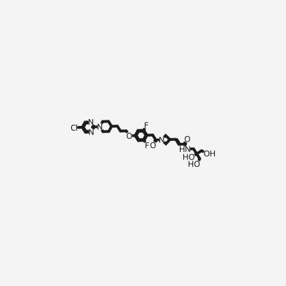 O=C(C=CC1CN(C(=O)Cc2c(F)cc(OCCCC3CCN(c4ncc(Cl)cn4)CC3)cc2F)C1)NCC(O)(CO)CO